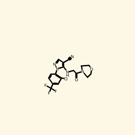 N#Cc1cnn(-c2ccc(C(F)(F)F)cc2Cl)c1NCC(=O)N1CCOCC1